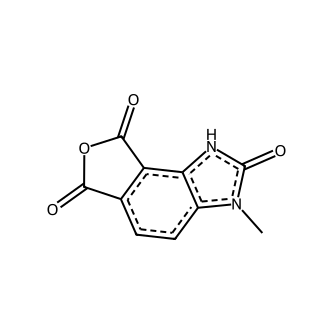 Cn1c(=O)[nH]c2c3c(ccc21)C(=O)OC3=O